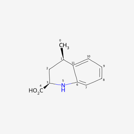 C[C@@H]1C[C@H](C(=O)O)Nc2ccccc21